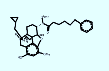 CCCCCN(C(=O)CCCCCc1ccccc1)[C@H]1CC[C@H]2[C@H]3Cc4c(O)cc(OC)c5c4[C@@]2(CCN3CC2CC2)[C@H]1O5